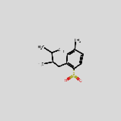 Cc1ccc([SH](=O)=O)c(CC(C)C(C)C)c1